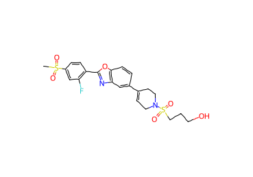 CS(=O)(=O)c1ccc(-c2nc3cc(C4=CCN(S(=O)(=O)CCCO)CC4)ccc3o2)c(F)c1